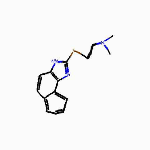 CN(C)CCSc1nc2c(ccc3ccccc32)[nH]1